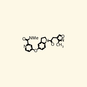 CNC(=O)c1cc(Oc2ccc3c(c2)CCN3C(=O)Cc2conc2C)ccn1